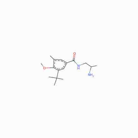 COc1c(C)cc(C(=O)NCC(C)N)cc1C(C)(C)C